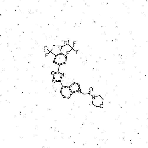 C[C@H](Oc1ccc(-c2nc(-c3cccc4c3ccn4CC(=O)N3CCOCC3)no2)cc1C(F)(F)F)C(F)(F)F